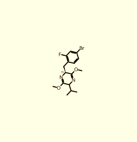 COC1=N[C@@H](Cc2ccc(Br)cc2F)C(OC)=NC1C(C)C